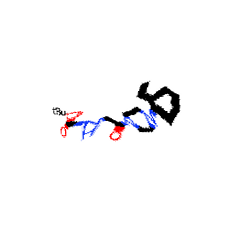 C=Cc1ccccc1N1CCN(C(=O)CNC(=O)OC(C)(C)C)CC1